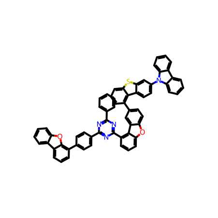 c1ccc(-c2nc(-c3ccc(-c4cccc5c4oc4ccccc45)cc3)nc(-c3cccc4oc5ccc(-c6cccc7sc8cc(-n9c%10ccccc%10c%10ccccc%109)ccc8c67)cc5c34)n2)cc1